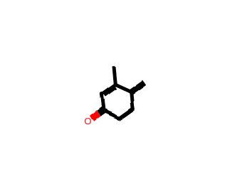 C=C1CCC(=O)C=C1C